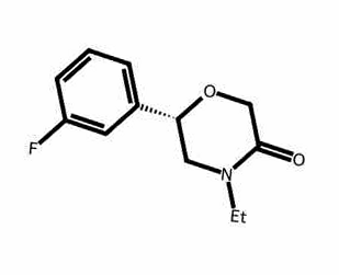 CCN1C[C@H](c2cccc(F)c2)OCC1=O